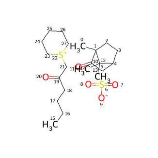 CC12CCC(C(S(=O)(=O)[O-])C1=O)C2(C)C.CCCCC(=O)C[S+]1CCCCC1